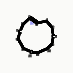 [CH]1CCC/C=C/CCCCCCC1